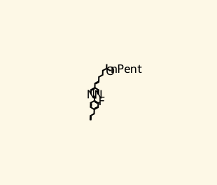 C=CCc1ccc(-c2ncc(C=CCCCC(C)OCCCCC)cn2)c(F)c1